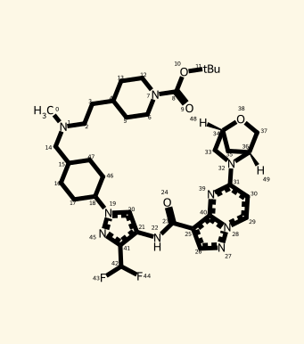 CN(CCC1CCN(C(=O)OC(C)(C)C)CC1)CC1CCC(n2cc(NC(=O)c3cnn4ccc(N5C[C@H]6C[C@@H]5CO6)nc34)c(C(F)F)n2)CC1